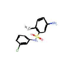 Cc1ccc(N)cc1S(=O)(=O)Nc1cccc(Cl)c1